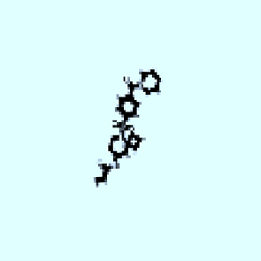 C=CC(=O)NC1CCN(S(=O)(=O)c2ccc(C(=O)N3CCCCC3)cc2)C2(CCC2)C1